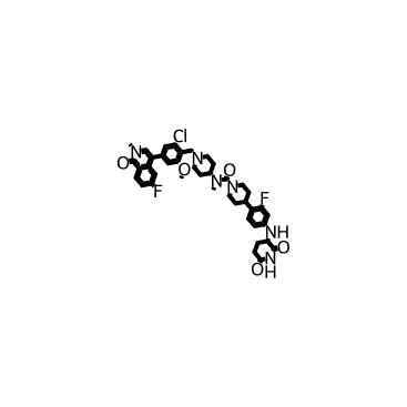 COc1cc(-c2cn(C)c(=O)c3ccc(F)cc23)cc(Cl)c1CN1CCC(N(C)C(=O)N2CCC(c3ccc(NC4CCC(=O)NC4=O)cc3F)CC2)CC1